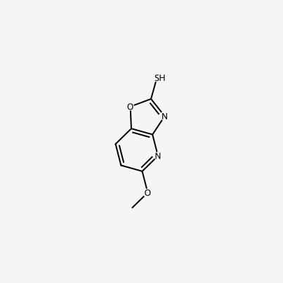 COc1ccc2oc(S)nc2n1